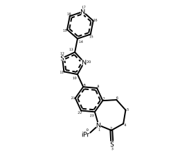 CC(C)N1C(=S)CCCc2cc(-c3csc(-c4ccncc4)n3)ccc21